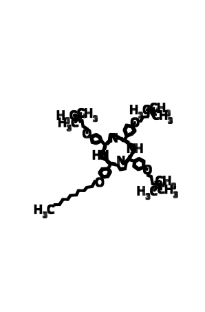 CCCCCCCCCCCCOc1ccc(-c2c3nc(c(-c4ccc(OCCC[N+](C)(C)C)cc4)c4ccc([nH]4)c(-c4ccc(OCCC[N+](C)(C)C)cc4)c4nc(c(-c5ccc(OCCC[N+](C)(C)C)cc5)c5ccc2[nH]5)C=C4)C=C3)cc1